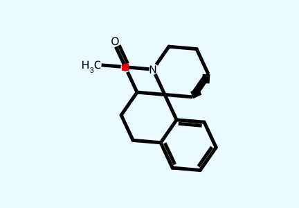 COC1CCc2ccccc2C12c1ccccc1CCN2C=O